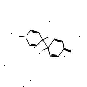 CN1C=CC(C)(C2(C)C=CC(=O)C=C2)C=C1